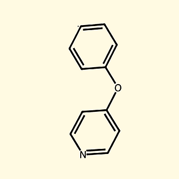 [c]1ccc(Oc2ccncc2)cc1